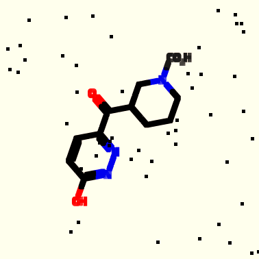 O=C(c1ccc(O)nn1)C1CCCN(C(=O)O)C1